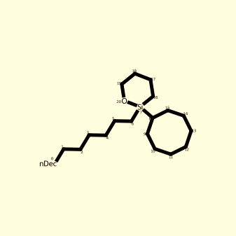 CCCCCCCCCCCCCCCC[Si]1(C2CCCCCCC2)CCCCO1